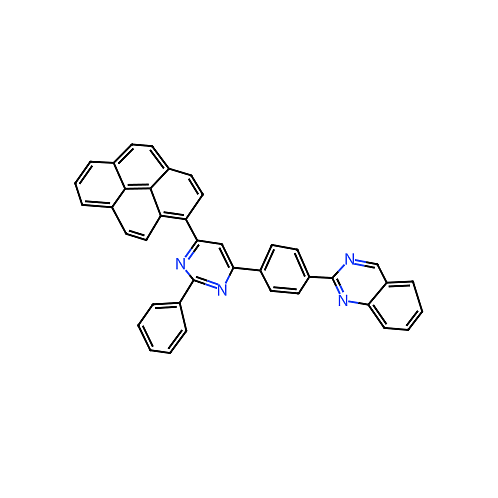 c1ccc(-c2nc(-c3ccc(-c4ncc5ccccc5n4)cc3)cc(-c3ccc4ccc5cccc6ccc3c4c56)n2)cc1